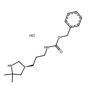 CC1(C)C[C@H](CCCNC(=O)OCc2ccccc2)CN1.Cl